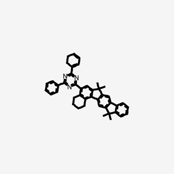 CC1(C)c2ccccc2-c2cc3c(cc21)-c1c(cc(-c2nc(C4=CC=CCC4)nc(-c4ccccc4)n2)c2c1CCCC2)C3(C)C